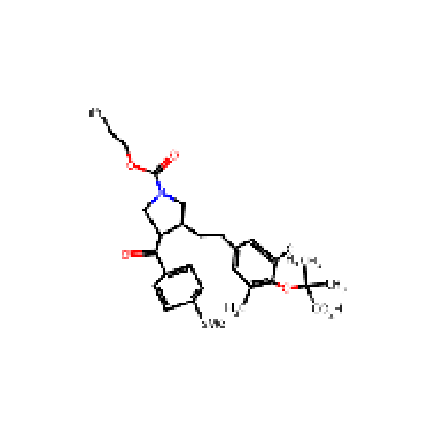 CSc1ccc(C(=O)C2CN(C(=O)OCCC(C)C)CC2CCc2cc(C)c(OC(C)(C)C(=O)O)c(C)c2)cc1